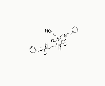 O=C(NCCC[C@@H]1NC(=O)C2(CCN(CCc3ccccc3)CC2)N(CCCO)C1=O)OCc1ccccc1